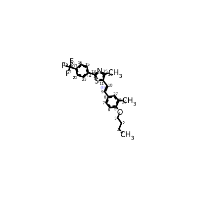 CCCCOc1ccc(/C=C/c2sc(-c3ccc(C(F)(F)F)cc3)nc2C)cc1C